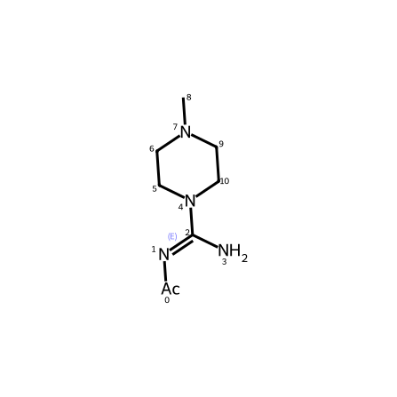 CC(=O)/N=C(\N)N1CCN(C)CC1